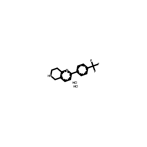 Cl.Cl.FC(F)(F)c1ccc(-c2ccc3c(n2)CCNC3)cc1